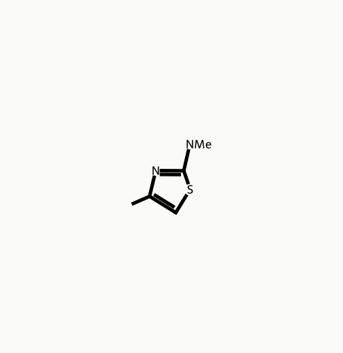 [CH2]Nc1nc(C)cs1